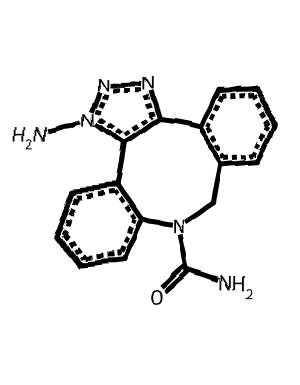 NC(=O)N1Cc2ccccc2-c2nnn(N)c2-c2ccccc21